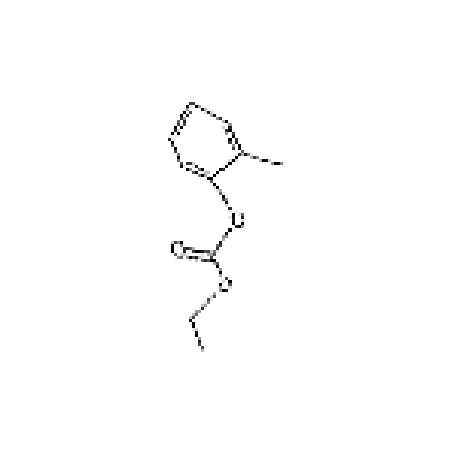 CCOC(=O)Oc1ccccc1C